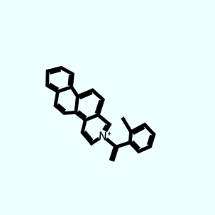 C=C(c1ccccc1C)[n+]1ccc2c(ccc3c4ccccc4ccc23)c1